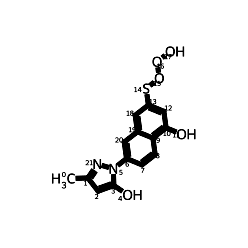 Cc1cc(O)n(-c2ccc3c(O)cc(SOOO)cc3c2)n1